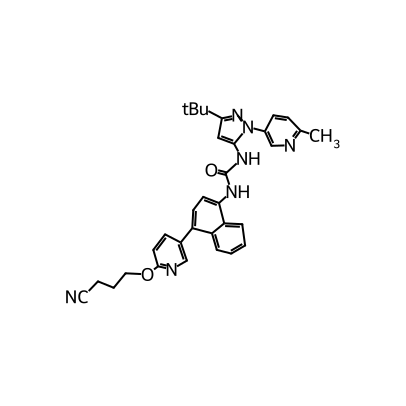 Cc1ccc(-n2nc(C(C)(C)C)cc2NC(=O)Nc2ccc(-c3ccc(OCCCC#N)nc3)c3ccccc23)cn1